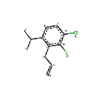 C=CCc1c([C](C)C)ccc(Cl)c1Cl